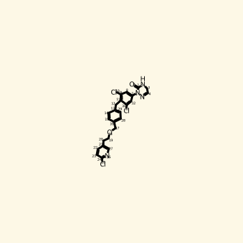 O=C1NCC=NN1c1cc(Cl)c(Cc2ccc(COCCc3ccc(Cl)nc3)cc2)c(Cl)c1